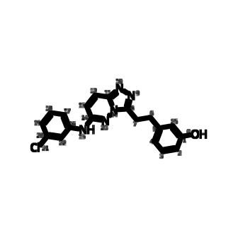 Oc1cccc(CCc2nnc3ccc(Nc4cccc(Cl)c4)nn23)c1